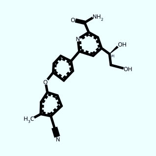 Cc1cc(Oc2ccc(-c3cc([C@@H](O)CO)cc(C(N)=O)n3)cc2)ccc1C#N